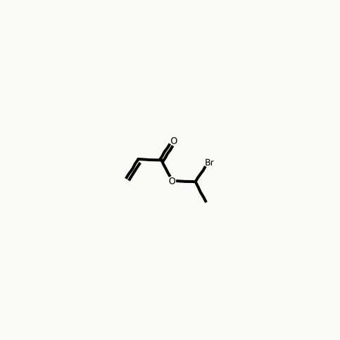 C=CC(=O)OC(C)Br